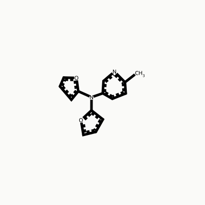 Cc1ccc(N(c2ccco2)c2ccco2)cn1